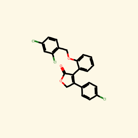 O=C1OCC(c2ccc(Cl)cc2)=C1c1ccccc1OCc1ccc(Cl)cc1Cl